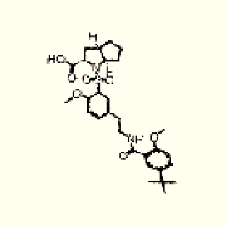 COc1ccc(C(C)(C)C)cc1C(=O)NCCC1=CC(S(=O)(=O)N2[C@@H](C(=O)O)C[C@H]3CCC[C@H]32)C(OC)C=C1